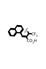 O=C(O)C(=Cc1cccc2ccccc12)C(C(F)(F)F)C(F)(F)F